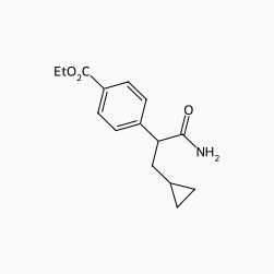 CCOC(=O)c1ccc(C(CC2CC2)C(N)=O)cc1